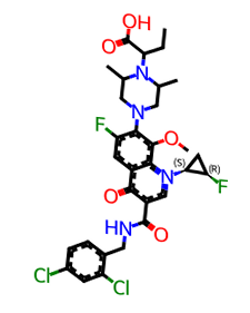 CCC(C(=O)O)N1C(C)CN(c2c(F)cc3c(=O)c(C(=O)NCc4ccc(Cl)cc4Cl)cn([C@H]4C[C@H]4F)c3c2OC)CC1C